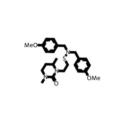 COc1ccc(CN(Cc2ccc(OC)cc2)SCCN2C(=O)N(C)CCC2C)cc1